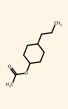 CCCC1CCC(OC(C)=O)CC1